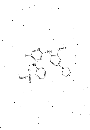 CCOc1cc(N2CCCC2)ccc1Nc1ncc(I)c(Nc2ccccc2S(=O)(=O)NC)n1